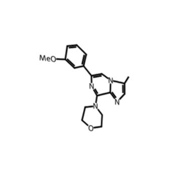 COc1cccc(-c2cn3c(C)cnc3c(N3CCOCC3)n2)c1